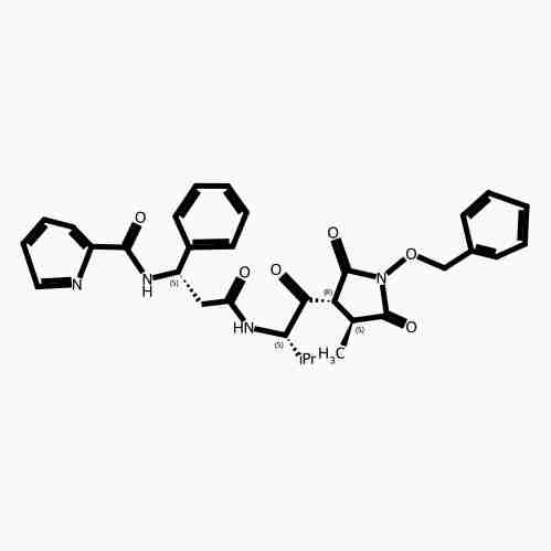 CC(C)[C@H](NC(=O)C[C@H](NC(=O)c1ccccn1)c1ccccc1)C(=O)[C@@H]1C(=O)N(OCc2ccccc2)C(=O)[C@H]1C